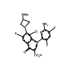 CNC1CN(c2c(F)cc3c(=O)c(C(=O)O)cn(-c4nc(N)c(F)cc4F)c3c2Cl)C1